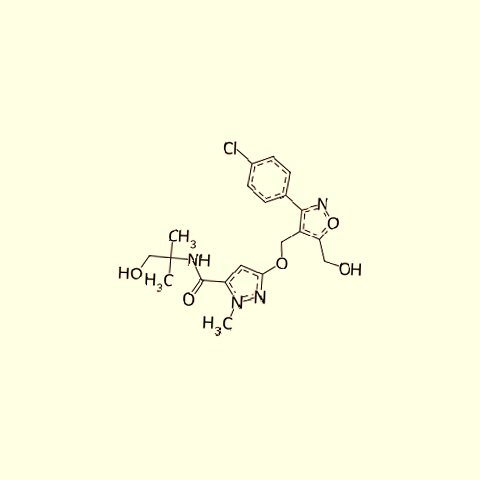 Cn1nc(OCc2c(-c3ccc(Cl)cc3)noc2CO)cc1C(=O)NC(C)(C)CO